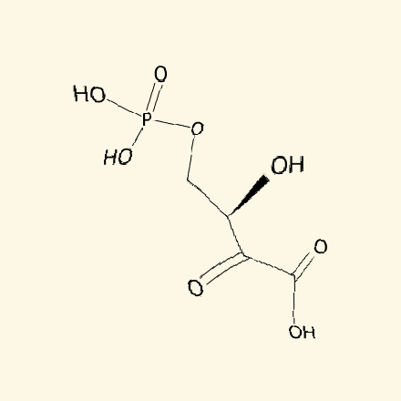 O=C(O)C(=O)[C@H](O)COP(=O)(O)O